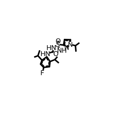 CC(C)c1cc(F)cc(C(C)C)c1NC(=O)NS(=N)(=O)c1ccn(C(C)C)n1